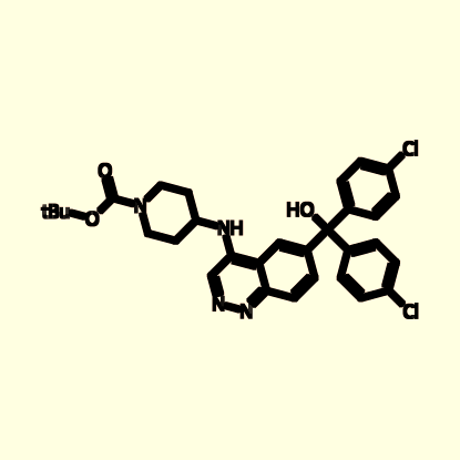 CC(C)(C)OC(=O)N1CCC(Nc2cnnc3ccc(C(O)(c4ccc(Cl)cc4)c4ccc(Cl)cc4)cc23)CC1